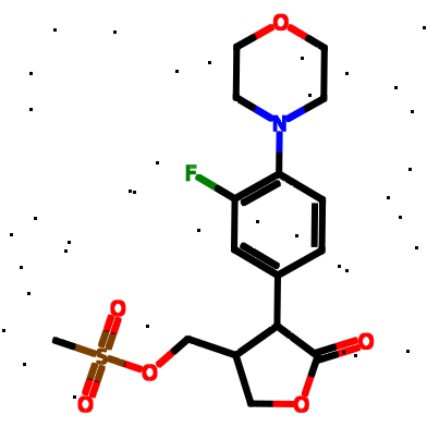 CS(=O)(=O)OCC1COC(=O)C1c1ccc(N2CCOCC2)c(F)c1